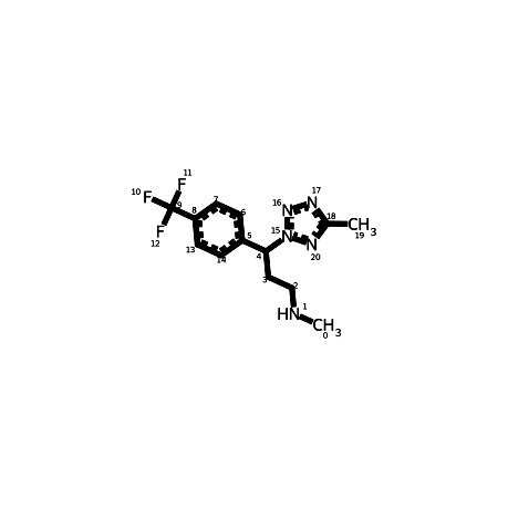 CNCCC(c1ccc(C(F)(F)F)cc1)n1nnc(C)n1